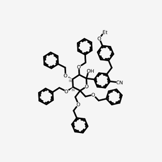 CCOc1ccc(Cc2cc(C3(O)OC(COCc4ccccc4)(COCc4ccccc4)[C@@H](OCc4ccccc4)[C@H](OCc4ccccc4)C3OCc3ccccc3)ccc2C#N)cc1